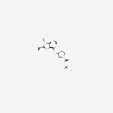 CCn1c(C(=O)O)nc2c(OC3CCN(C(=O)OC(C)(C)C)C3)ncnc21